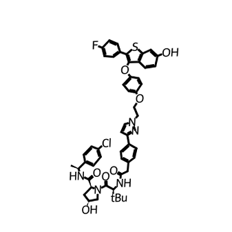 C[C@H](NC(=O)[C@@H]1C[C@@H](O)CN1C(=O)[C@@H](NC(=O)Cc1ccc(-c2ccn(CCOc3ccc(Oc4c(-c5ccc(F)cc5)sc5cc(O)ccc45)cc3)n2)cc1)C(C)(C)C)c1ccc(Cl)cc1